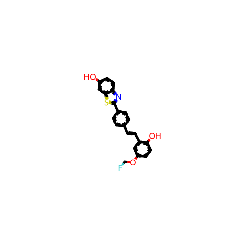 Oc1ccc2nc(-c3ccc(/C=C/c4cc(OCF)ccc4O)cc3)sc2c1